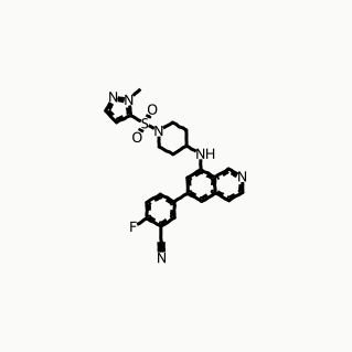 Cn1nccc1S(=O)(=O)N1CCC(Nc2cc(-c3ccc(F)c(C#N)c3)cc3ccncc23)CC1